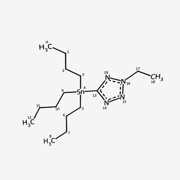 CCC[CH2][Sn]([CH2]CCC)([CH2]CCC)[c]1nnn(CC)n1